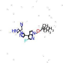 C[Si](C)(C)CCOCn1ccc2c(-c3cnn(C4(CC#N)CNC4)c3)c(F)cnc21